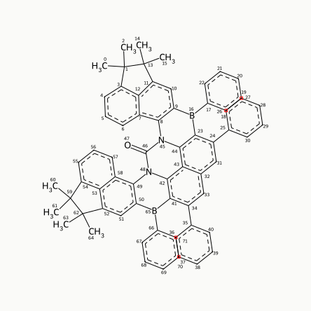 CC1(C)c2cccc3c4c(cc(c23)C1(C)C)B(c1ccccc1)c1c(-c2ccccc2)cc2cc(-c3ccccc3)c3c5c2c1N4C(=O)N5c1c(cc2c4c(cccc14)C(C)(C)C2(C)C)B3c1ccccc1